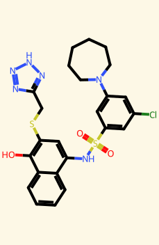 O=S(=O)(Nc1cc(SCc2nn[nH]n2)c(O)c2ccccc12)c1cc(Cl)cc(N2CCCCCC2)c1